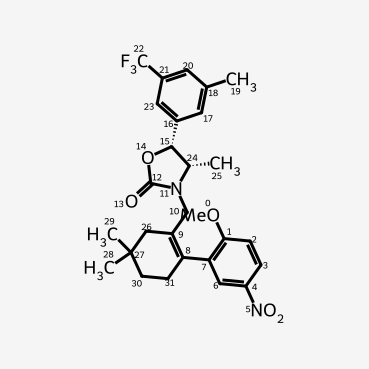 COc1ccc([N+](=O)[O-])cc1C1=C(CN2C(=O)O[C@H](c3cc(C)cc(C(F)(F)F)c3)[C@@H]2C)CC(C)(C)CC1